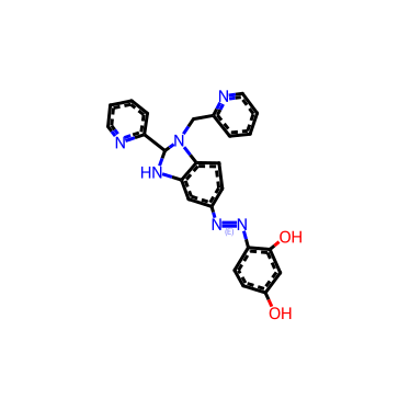 Oc1ccc(/N=N/c2ccc3c(c2)NC(c2ccccn2)N3Cc2ccccn2)c(O)c1